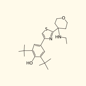 CCNC1(c2nc(-c3cc(C(C)(C)C)c(O)c(C(C)(C)C)c3)cs2)CCOCC1